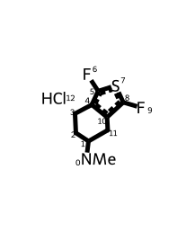 CNC1CCc2c(F)sc(F)c2C1.Cl